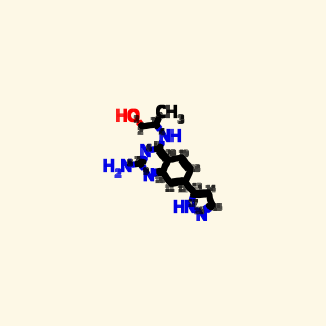 CC(CO)Nc1nc(N)nc2cc(-c3ccn[nH]3)ccc12